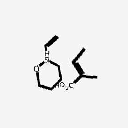 C=C[SiH]1CCCCO1.CC=C(C)C(=O)O